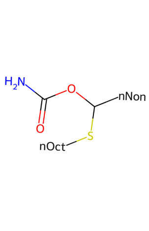 CCCCCCCCCC(OC(N)=O)SCCCCCCCC